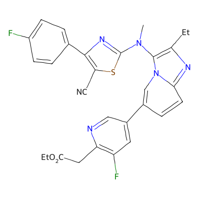 CCOC(=O)Cc1ncc(-c2ccc3nc(CC)c(N(C)c4nc(-c5ccc(F)cc5)c(C#N)s4)n3c2)cc1F